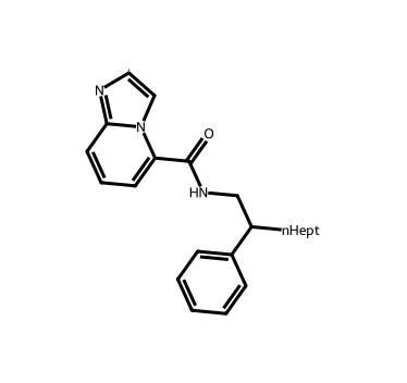 CCCCCCCC(CNC(=O)c1cccc2n[c]cn12)c1ccccc1